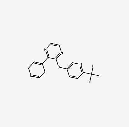 FC(F)(F)c1ccc(Oc2nccnc2C2=CCN=CC2)cn1